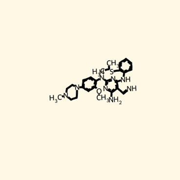 COc1cc(N2CCN(C)CC2)ccc1Nc1nc(N)c(C=N)c(Nc2ccccc2SC(C)C)n1